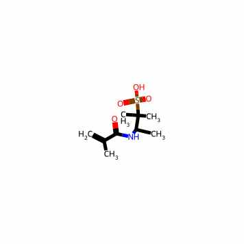 C=C(C)C(=O)NC(C)C(C)(C)S(=O)(=O)O